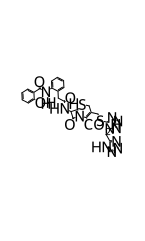 O=C(Cc1ccccc1NC(=O)c1ccccc1O)NC1C(=O)N2C(C(=O)O)=C(CSc3nnnn3Cc3nnn[nH]3)CS[C@H]12